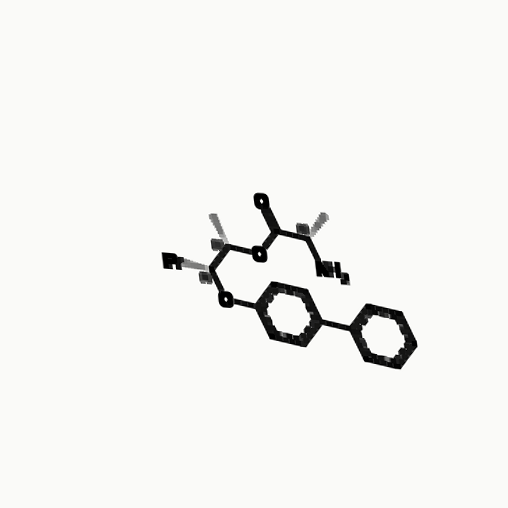 CC(C)[C@@H](Oc1ccc(-c2ccccc2)cc1)[C@H](C)OC(=O)[C@H](C)N